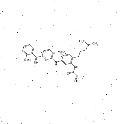 C=CC(=O)Nc1cc(Nc2nccc(C(=N)c3ccccc3NC)n2)c(OC)cc1CCCN(C)C